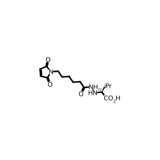 CC(C)[C@H](NNC(=O)CCCCCN1C(=O)C=CC1=O)C(=O)O